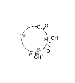 C[C@@H]1CCCOC(=O)C[C@H](O)C(C)(C)C(=O)[C@H](C)[C@@H](O)[C@@H](C)CCC1